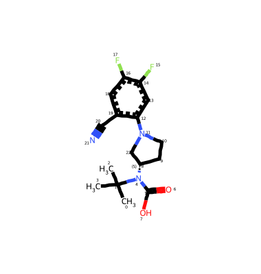 CC(C)(C)N(C(=O)O)[C@H]1CCN(c2cc(F)c(F)cc2C#N)C1